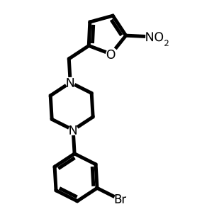 O=[N+]([O-])c1ccc(CN2CCN(c3cccc(Br)c3)CC2)o1